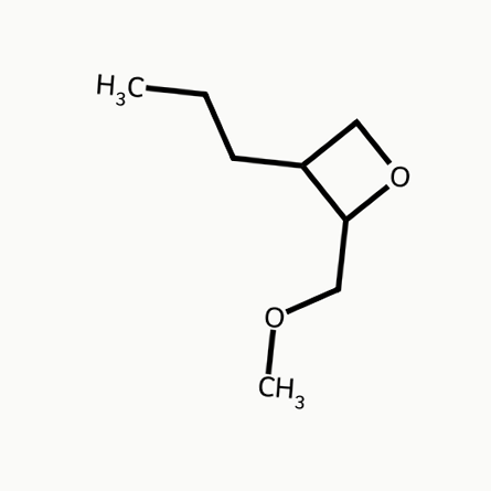 CCCC1COC1COC